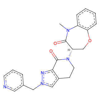 CN1C(=O)[C@@H](N2CCc3cn(Cc4cccnc4)nc3C2=O)COc2ccccc21